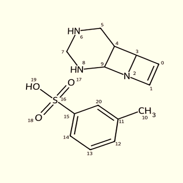 C1=CN2C1C1CNCNC12.Cc1cccc(S(=O)(=O)O)c1